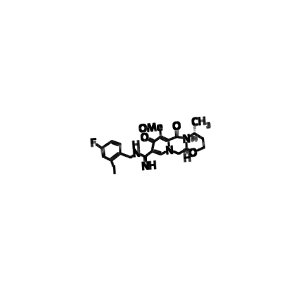 COc1c2n(cc(C(=N)NCc3ccc(F)cc3I)c1=O)C[C@@H]1OCC[C@@H](C)N1C2=O